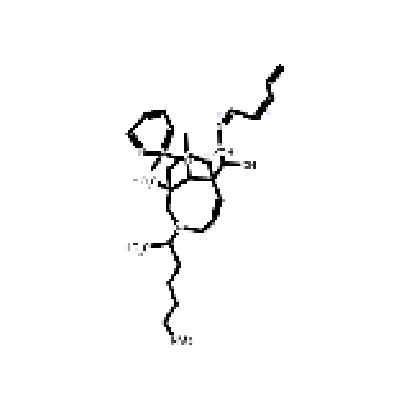 C=C/C=C\C=N/C[C@H]1N(C)CC2(C(=O)O)CN(C(CCCCNC)C(=O)O)CC=CC1(C(O)O)C2OP1(C)=CC=CC=N1